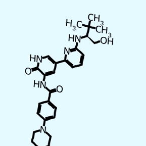 CC(C)(C)[C@@H](CO)Nc1cccc(-c2c[nH]c(=O)c(NC(=O)c3ccc(N4CCCCC4)cc3)c2)n1